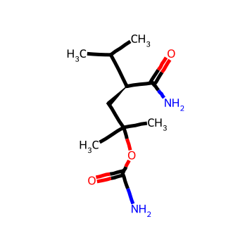 CC(C)[C@H](CC(C)(C)OC(N)=O)C(N)=O